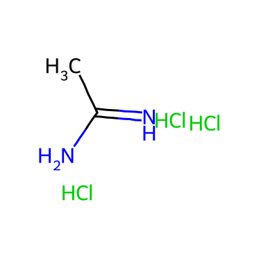 CC(=N)N.Cl.Cl.Cl